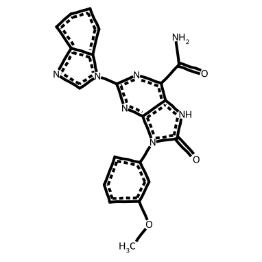 COc1cccc(-n2c(=O)[nH]c3c(C(N)=O)nc(-n4cnc5ccccc54)nc32)c1